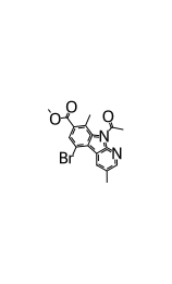 COC(=O)c1cc(Br)c2c3cc(C)cnc3n(C(C)=O)c2c1C